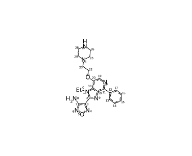 CCn1c(-c2nonc2N)nc2c(-c3ccccc3)ncc(OCCN3CCNCC3)c21